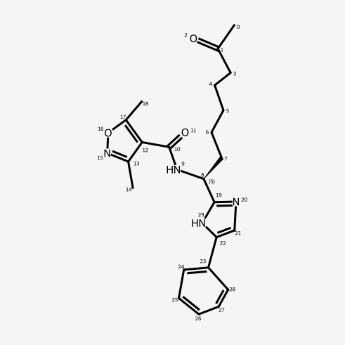 CC(=O)CCCCC[C@H](NC(=O)c1c(C)noc1C)c1ncc(-c2ccccc2)[nH]1